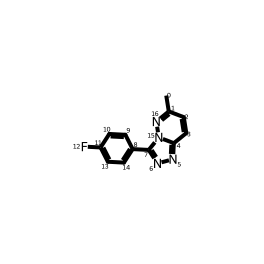 Cc1ccc2nnc(-c3ccc(F)cc3)n2n1